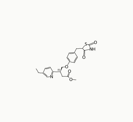 CCc1ccc([C@@H](COc2ccc(CC3SC(=O)NC3=O)cc2)CC(=O)OC)nc1